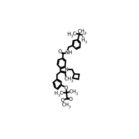 COC(=O)C(C)(C)Oc1cccc(Cc2c(C)n(CC3CCC3)c3cc(C(=O)NCc4cccc(C(C)(C)C)c4)ccc23)c1